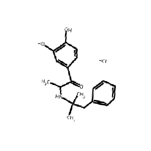 CC(NC(C)(C)Cc1ccccc1)C(=O)c1ccc(O)c(O)c1.Cl